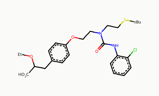 CCCCSCCN(CCOc1ccc(CC(OCC)C(=O)O)cc1)C(=O)Nc1ccccc1Cl